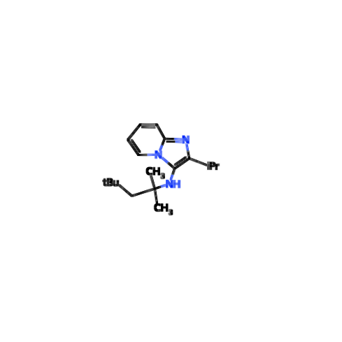 CC(C)c1nc2ccccn2c1NC(C)(C)CC(C)(C)C